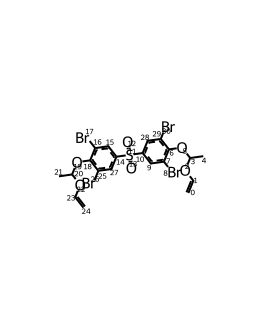 C=COC(C)Oc1c(Br)cc(S(=O)(=O)c2cc(Br)c(OC(C)OC=C)c(Br)c2)cc1Br